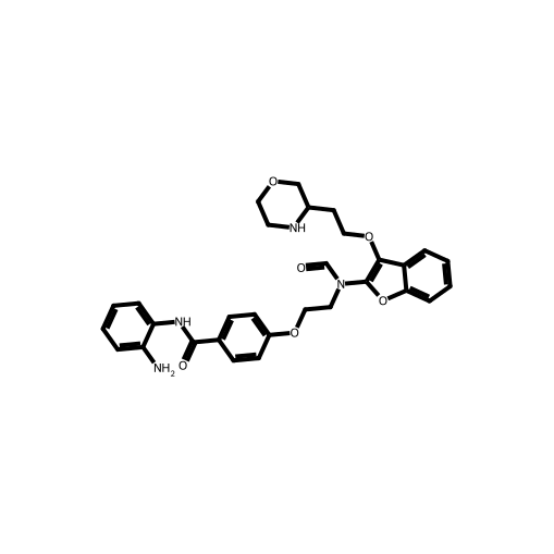 Nc1ccccc1NC(=O)c1ccc(OCCN(C=O)c2oc3ccccc3c2OCCC2COCCN2)cc1